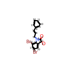 O=C1C(=O)N(C/C=C/c2ccccc2)c2c(Br)cc(Br)cc21